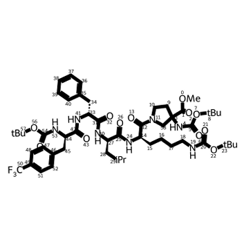 COC(=O)C1(NC(=O)OC(C)(C)C)CCN(C(=O)[C@@H](CCCCNC(=O)OC(C)(C)C)NC(=O)[C@@H](CC(C)C)NC(=O)[C@@H](Cc2ccccc2)NC(=O)[C@@H](Cc2ccc(C(F)(F)F)cc2)NC(=O)OC(C)(C)C)C1